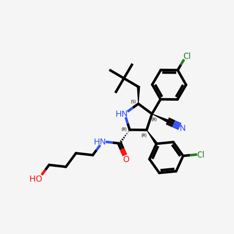 CC(C)(C)C[C@@H]1N[C@@H](C(=O)NCCCCO)[C@H](c2cccc(Cl)c2)[C@@]1(C#N)c1ccc(Cl)cc1